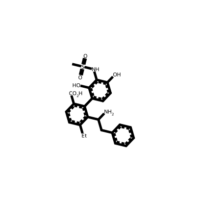 CCc1ccc(C(=O)O)c(-c2ccc(O)c(NS(C)(=O)=O)c2O)c1C(N)Cc1ccccc1